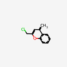 C=C1C=C(CCl)Oc2ccccc21